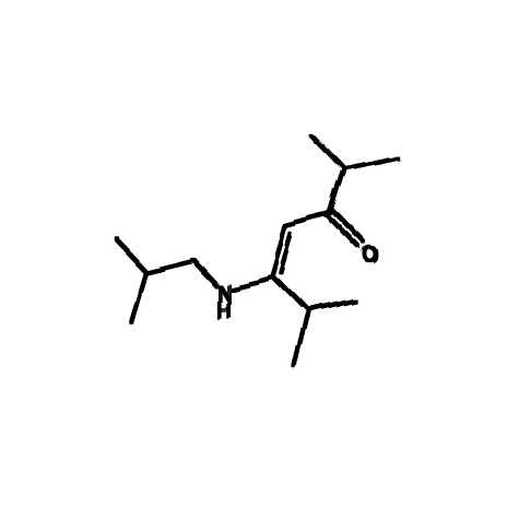 CC(C)CNC(=CC(=O)C(C)C)C(C)C